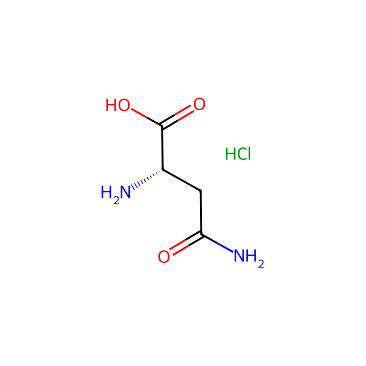 Cl.NC(=O)C[C@H](N)C(=O)O